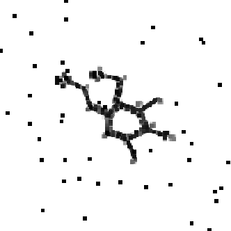 Cc1cc(=C/CN)/c(=C\N)c(C)c1F